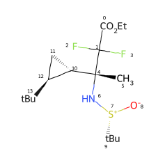 CCOC(=O)C(F)(F)[C@](C)(N[S@+]([O-])C(C)(C)C)[C@H]1C[C@@H]1C(C)(C)C